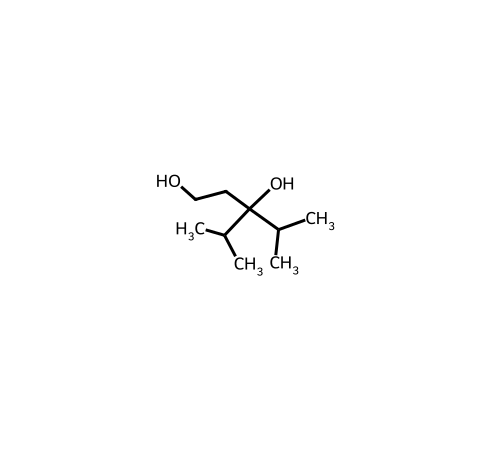 CC(C)C(O)(CCO)C(C)C